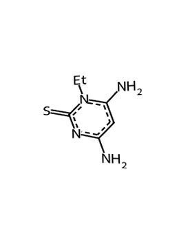 CCn1c(N)cc(N)nc1=S